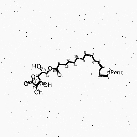 CCCCC/C=C\C/C=C\C/C=C\CCCCCCC(=O)OC[C@H](O)[C@H]1OC(=O)C(O)=C1O